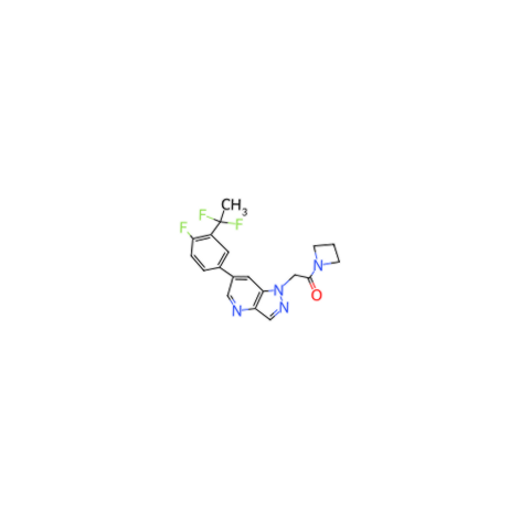 CC(F)(F)c1cc(-c2cnc3cnn(CC(=O)N4CCC4)c3c2)ccc1F